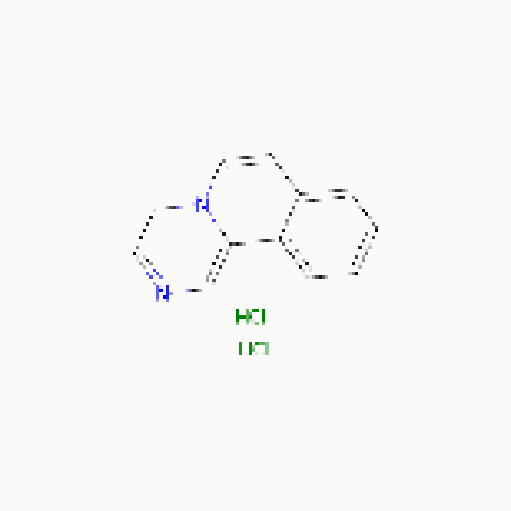 C1=CN2CC=NC=C2c2ccccc21.Cl.Cl